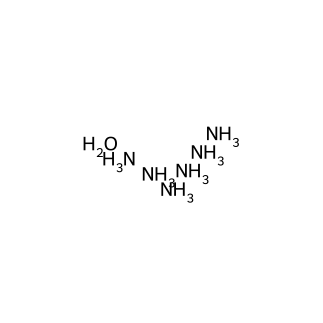 N.N.N.N.N.N.O